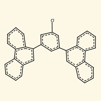 Clc1cc(-c2cc3ccccc3c3ccccc23)cc(-c2cc3ccccc3c3ccccc23)c1